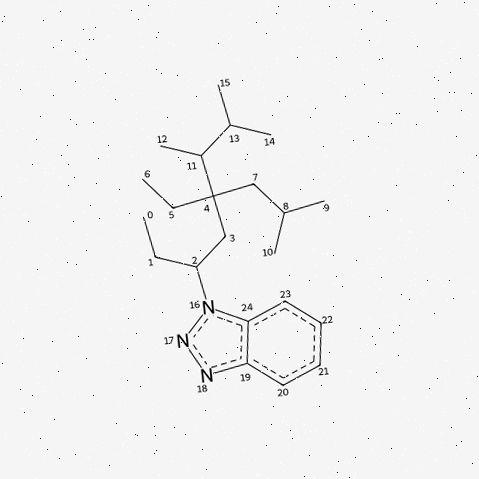 CCC(CC(CC)(CC(C)C)C(C)C(C)C)n1nnc2ccccc21